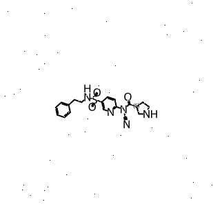 N#CN(C(=O)[C@H]1CCNC1)c1ccc(S(=O)(=O)NCCc2ccccc2)cn1